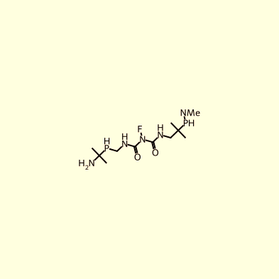 CNPC(C)(C)CNC(=O)N(F)C(=O)NCPC(C)(C)N